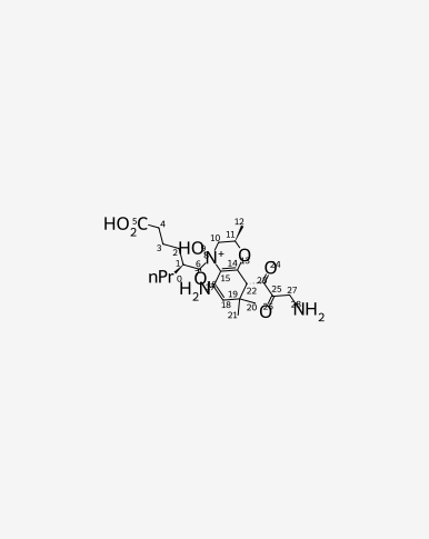 CCC[C@@H](CCCC(=O)O)C(=O)[N@+]1(O)C[C@@H](C)OC2=C1C(N)=CC(C)(C)[C@H]2C(=O)C(=O)CN